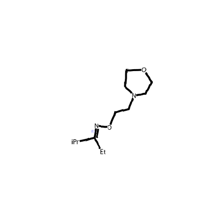 CC/C(=N\OCCN1CCOCC1)C(C)C